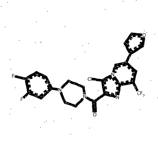 O=C(c1nc2c(C(F)(F)F)cc(-c3ccoc3)cn2c1Cl)N1CCN(c2ccc(F)c(F)c2)CC1